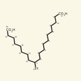 CCC(CCCCCCCCCCC(=O)O)CCCCCCCC(=O)O